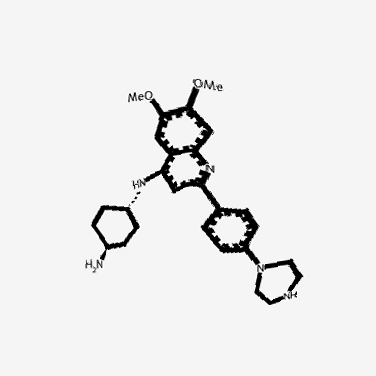 COc1cc2nc(-c3ccc(N4CCNCC4)cc3)cc(N[C@H]3CC[C@H](N)CC3)c2cc1OC